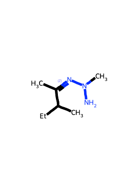 CCC(C)/C(C)=N\N(C)N